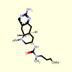 CCCN1C[C@@H](NC(=O)N(C)CCCOC)C[C@@H]2Cc3nc(N)ncc3C[C@H]21